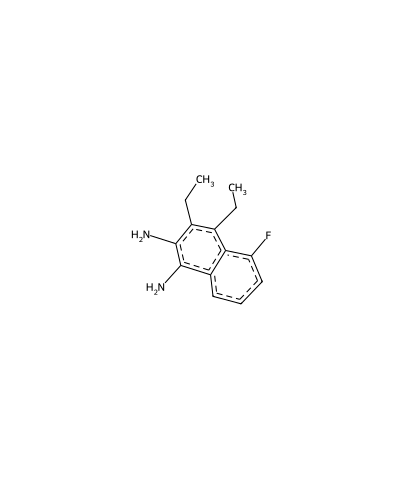 CCc1c(N)c(N)c2cccc(F)c2c1CC